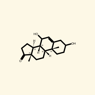 C[C@]12CCC(O)CC1=CC(O)[C@@H]1[C@H]2CC[C@]2(C)C(=O)CC[C@@H]12